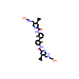 Cc1c(NC(=O)c2cc(C3CC3)c(CNCCO)cn2)cccc1-c1cccc(NC(=O)c2cc(C3CC3)c(CNCCO)cn2)c1C